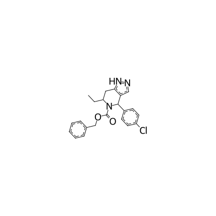 CCC1Cc2[nH]ncc2C(c2ccc(Cl)cc2)N1C(=O)OCc1ccccc1